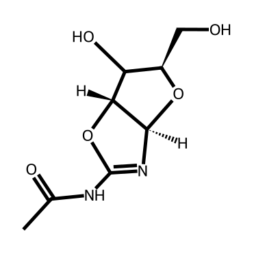 CC(=O)NC1=N[C@@H]2O[C@H](CO)C(O)[C@H]2O1